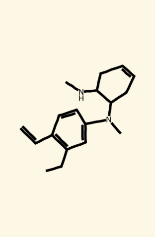 C=Cc1ccc(N(C)C2CC=CCC2NC)cc1CC